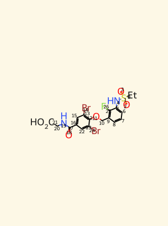 CCS(=O)(=O)Nc1cccc(COc2c(Br)cc(C(=O)NCC(=O)O)cc2Br)c1F